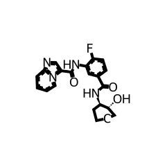 O=C(N[C@@H]1CCCC[C@H]1O)c1ccc(F)c(NC(=O)c2cnc3ccccn23)c1